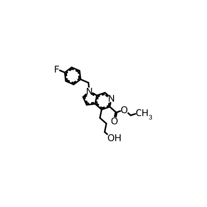 CCOC(=O)c1ncc2c(ccn2Cc2ccc(F)cc2)c1CCCO